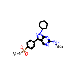 CCCCNc1ncc2c(-c3ccc(S(=O)(=O)NC)cc3)nn(C3CCCCC3)c2n1